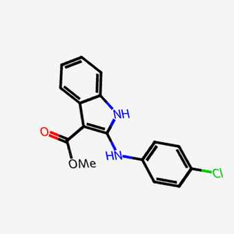 COC(=O)c1c(Nc2ccc(Cl)cc2)[nH]c2ccccc12